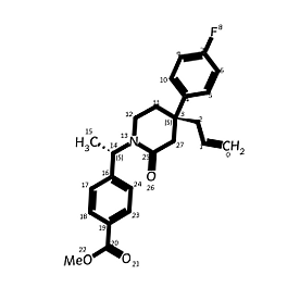 C=CC[C@]1(c2ccc(F)cc2)CCN([C@@H](C)c2ccc(C(=O)OC)cc2)C(=O)C1